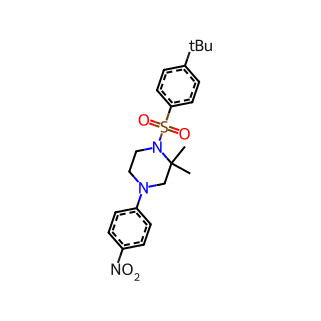 CC(C)(C)c1ccc(S(=O)(=O)N2CCN(c3ccc([N+](=O)[O-])cc3)CC2(C)C)cc1